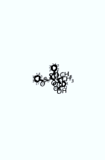 CC(C)C(NC(=O)[C@H](CSC(=O)c1ccccc1)SC(=O)c1ccccc1)C(=O)N1CCCC1C(=O)O